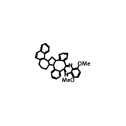 COc1ccc(OC)c2nc3c(nc12)-c1ccccc1C1CC2c4c(ccc5ccccc45)CCCC2C1c1ccccc1-3